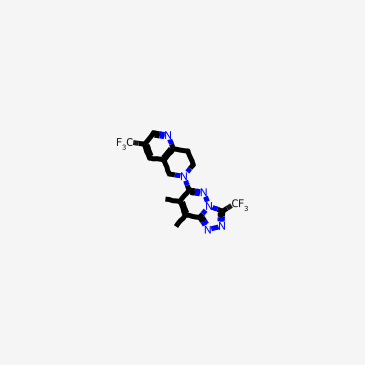 Cc1c(N2CCc3ncc(C(F)(F)F)cc3C2)nn2c(C(F)(F)F)nnc2c1C